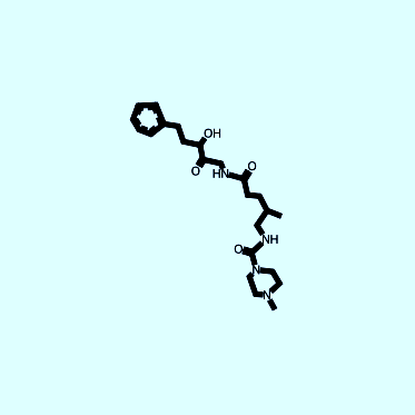 CC(CCC(=O)NCC(=O)C(O)CCc1ccccc1)CNC(=O)N1CCN(C)CC1